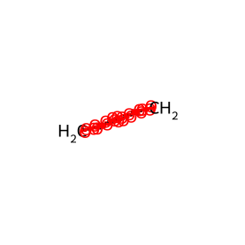 C=CC(=O)OCCCCOC(=O)Oc1ccc2cc(C(=O)Oc3ccc(C(=O)O[C@@H]4COC5C4OC[C@H]5OC(=O)c4ccc(OC(=O)c5ccc6cc(OC(=O)OCCCCOC(=O)C=C)ccc6c5)cc4)cc3)ccc2c1